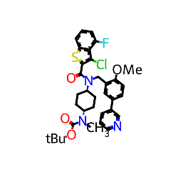 COc1ccc(-c2cccnc2)cc1CN(C(=O)c1sc2cccc(F)c2c1Cl)[C@H]1CC[C@H](N(C)C(=O)OC(C)(C)C)CC1